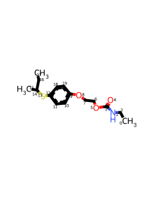 CCNC(=O)OCCOc1ccc(SC(C)CC)cc1